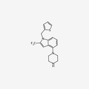 FC(F)(F)c1cc2c(N3CCNCC3)cccc2n1Cc1cccs1